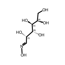 OC[C@@H](O)[C@H](O)[C@H](O)[C@@H](O)C=NO